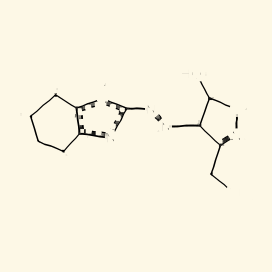 CCC1=NOC(O)C1N=Nc1nc2c(s1)CCCC2